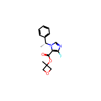 C[C@H](c1ccccc1)n1cnc(F)c1C(=O)OC1(C)COC1